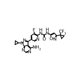 Nc1ncnc2c1c(-c1cnc(NC(=O)Nc3cc(C4(C(F)(F)F)CC4)no3)c(F)c1)nn2C1CC1